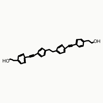 OCCc1ccc(C#Cc2ccc(CCc3ccc(C#Cc4ccc(CCO)cc4)cc3)cc2)cc1